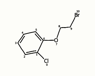 Clc1ccccc1OCCBr